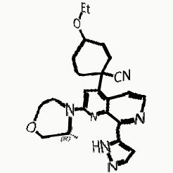 CCOC1CCC(C#N)(c2cc(N3CCOC[C@H]3C)nc3c(-c4ccn[nH]4)nccc23)CC1